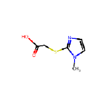 Cn1ccnc1SCC(=O)O